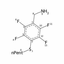 CCCCCSc1c(F)c(F)c(CN)c(F)c1F